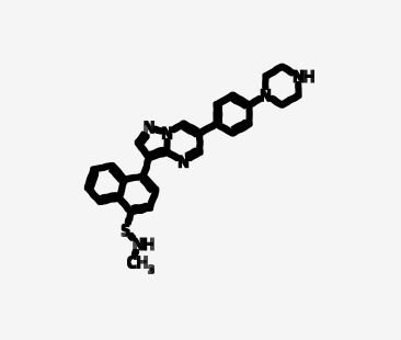 CNSc1ccc(-c2cnn3cc(-c4ccc(N5CCNCC5)cc4)cnc23)c2ccccc12